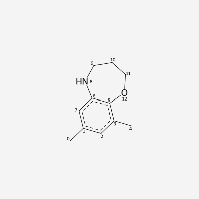 Cc1cc(C)c2c(c1)NCCCO2